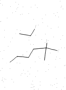 FC(F)(Cl)CCCCl.F[CH]Cl